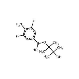 CC(C)(O)C(C)(C)OB(O)c1cc(F)c(N)c(F)c1